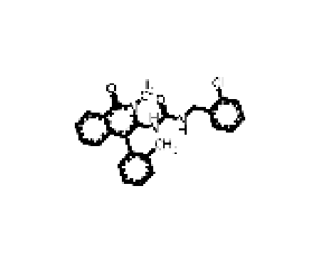 Cc1ccccc1-c1c(NC(=O)NCc2ccccc2Cl)n(C)c(=O)c2ccccc12